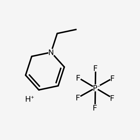 CCN1C=CC=CC1.F[P-](F)(F)(F)(F)F.[H+]